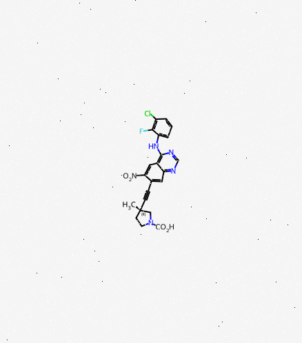 C[C@]1(C#Cc2cc3ncnc(Nc4cccc(Cl)c4F)c3cc2[N+](=O)[O-])CCN(C(=O)O)C1